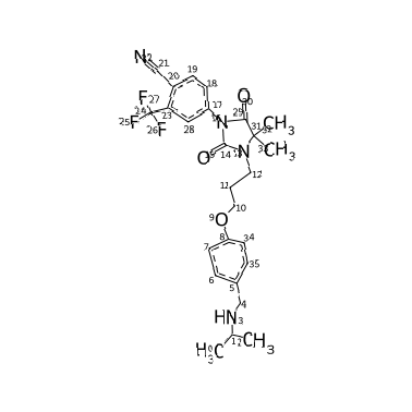 CC(C)NCc1ccc(OCCCN2C(=O)N(c3ccc(C#N)c(C(F)(F)F)c3)C(=O)C2(C)C)cc1